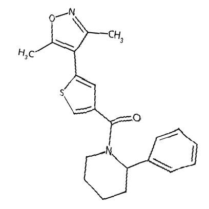 Cc1noc(C)c1-c1cc(C(=O)N2CCCCC2c2ccccc2)cs1